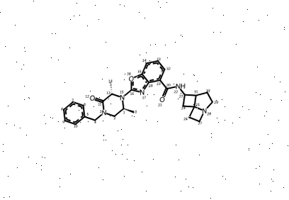 C[C@H]1CN(Cc2ccccc2)C(=O)[C@H](C)N1c1nc2c(C(=O)NC3CC45CCN4CCC35)cccc2o1